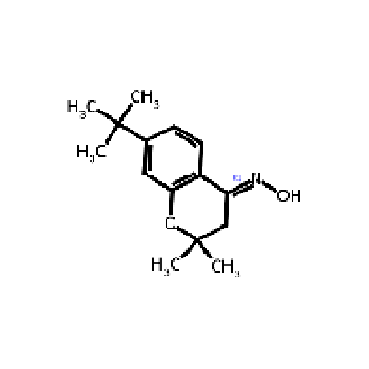 CC1(C)C/C(=N\O)c2ccc(C(C)(C)C)cc2O1